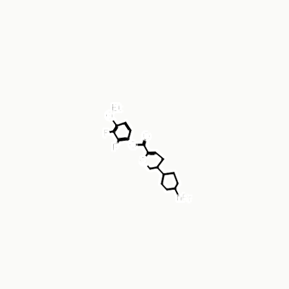 CCCC1CCC(C2CC=C(C(=O)Oc3ccc(OCC)c(F)c3F)OC2)CC1